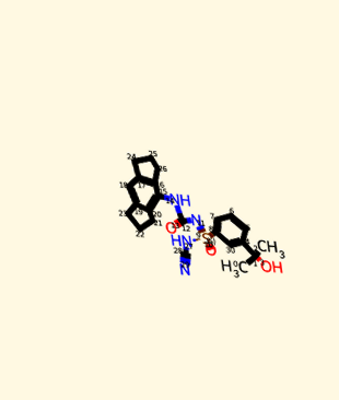 CC(C)(O)c1cccc([S@@](=O)(=NC(=O)Nc2c3c(cc4c2CCC4)CCC3)NC#N)c1